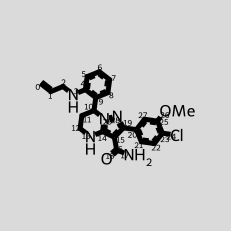 C=CCNc1ccccc1C1CCNc2c(C(N)=O)c(-c3ccc(Cl)c(OC)c3)nn21